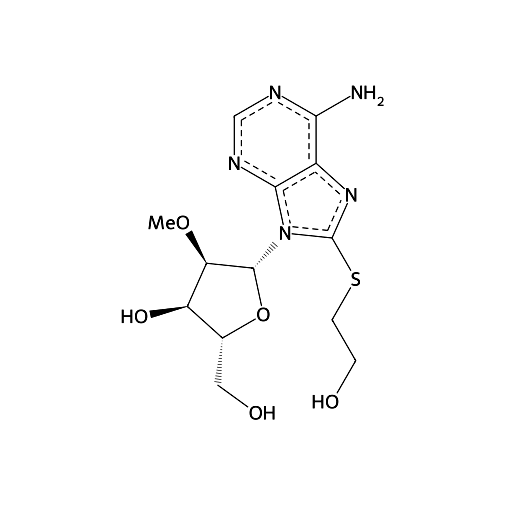 CO[C@@H]1[C@H](O)[C@@H](CO)O[C@H]1n1c(SCCO)nc2c(N)ncnc21